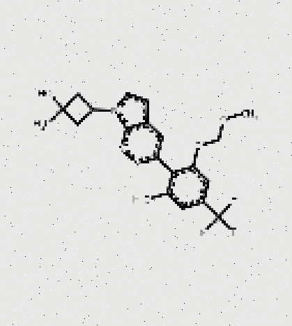 COCOc1cc(C(F)(F)F)cc(C)c1-c1cc2ccn(C3CC(C)(O)C3)c2nn1